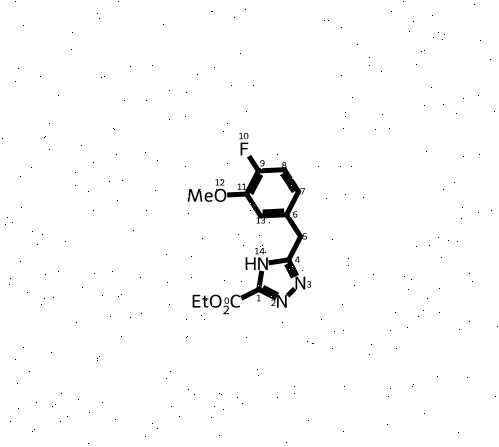 CCOC(=O)c1nnc(Cc2ccc(F)c(OC)c2)[nH]1